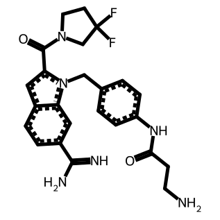 N=C(N)c1ccc2cc(C(=O)N3CCC(F)(F)C3)n(Cc3ccc(NC(=O)CCN)cc3)c2c1